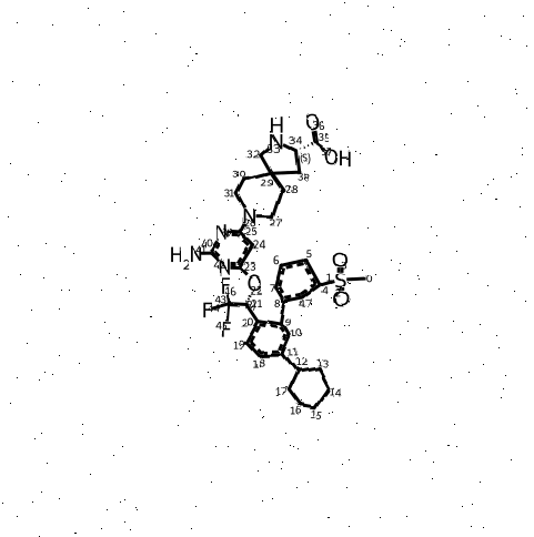 CS(=O)(=O)c1cccc(-c2cc(C3CCCCC3)ccc2[C@@H](Oc2cc(N3CCC4(CC3)CN[C@H](C(=O)O)C4)nc(N)n2)C(F)(F)F)c1